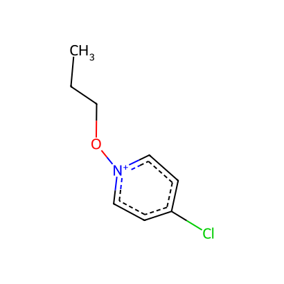 CCCO[n+]1ccc(Cl)cc1